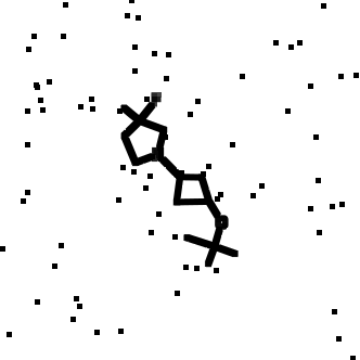 CC1(F)CCN(C2CC(OC(C)(C)C)C2)C1